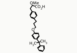 CO[C@@H](Cc1ccc(CCCOc2ccc(C(C)(C)c3ccccc3)cc2)cc1)C(=O)O